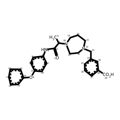 CC(C(=O)Nc1ccc(Oc2ccccc2)cc1)N1CCCN(Cc2cccc(C(=O)O)c2)CC1